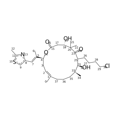 C/C1=C/C[C@@H](/C(C)=C/c2csc(C)n2)OC(=O)C[C@H](O)C(C)(C)C(=O)C(CCCCCl)[C@@H](O)[C@@H](C)CCC1